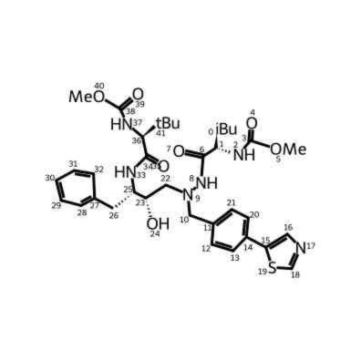 CC[C@H](C)[C@H](NC(=O)OC)C(=O)NN(Cc1ccc(-c2cncs2)cc1)C[C@H](O)[C@H](Cc1ccccc1)NC(=O)[C@@H](NC(=O)OC)C(C)(C)C